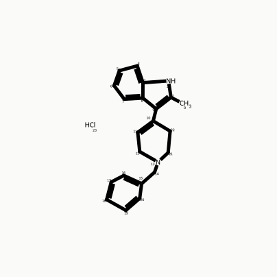 Cc1[nH]c2ccccc2c1C1=CCN(Cc2ccccc2)CC1.Cl